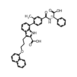 Cc1cc(C(=O)N[C@H](C(=O)O)c2ccccc2)ccc1-c1cccc2c(CCCOc3cccc4ccccc34)c(C(=O)O)[nH]c12